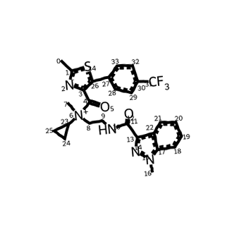 Cc1nc(C(=O)[N+](C)(CCNC(=O)c2nn(C)c3ccccc23)C2CC2)c(-c2ccc(C(F)(F)F)cc2)s1